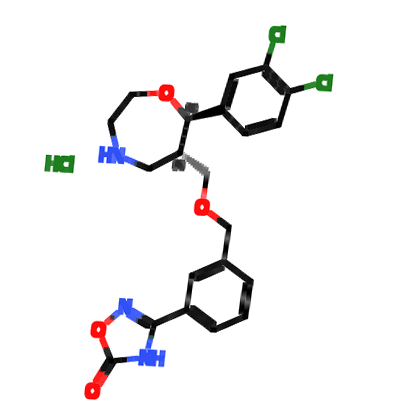 Cl.O=c1[nH]c(-c2cccc(COC[C@@H]3CNCCO[C@H]3c3ccc(Cl)c(Cl)c3)c2)no1